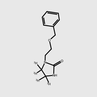 [2H]C1([2H])NC(=O)N(CCOCc2ccccc2)C1([2H])[2H]